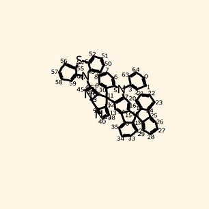 c1ccc(N2c3ccccc3C3(c4cc5c(cc42)C2(c4ccccc4-c4ccccc42)c2ccccc2-5)c2cccnc2-c2ncc(N4c5ccccc5Sc5ccccc54)cc23)cc1